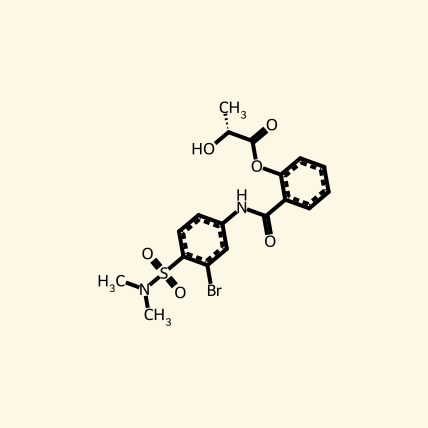 C[C@@H](O)C(=O)Oc1ccccc1C(=O)Nc1ccc(S(=O)(=O)N(C)C)c(Br)c1